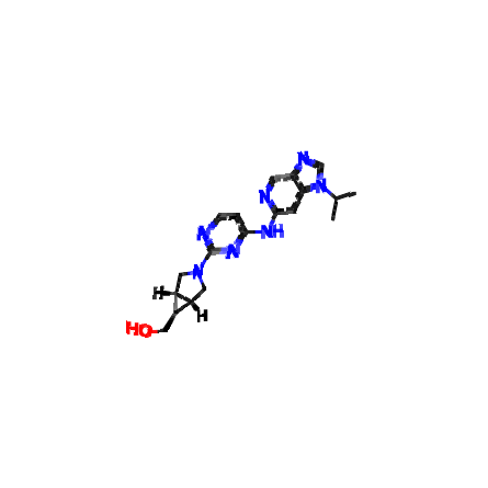 CC(C)n1cnc2cnc(Nc3ccnc(N4C[C@@H]5[C@@H](CO)[C@@H]5C4)n3)cc21